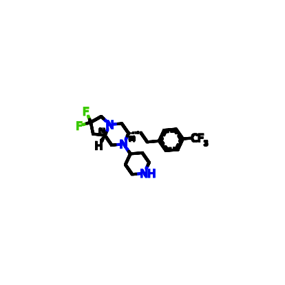 FC1(F)C[C@H]2CN(C3CCNCC3)[C@@H](CCc3ccc(C(F)(F)F)cc3)CN2C1